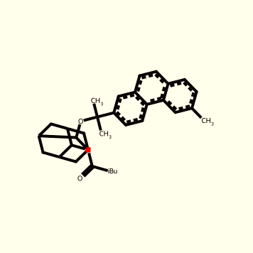 CCC(C)C(=O)OC1C2CC3CC1CC(C2)C3OC(C)(C)c1ccc2c(ccc3ccc(C)cc32)c1